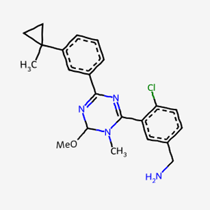 COC1N=C(c2cccc(C3(C)CC3)c2)N=C(c2cc(CN)ccc2Cl)N1C